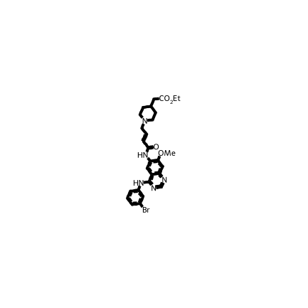 CCOC(=O)CC1CCN(CC=CC(=O)Nc2cc3c(Nc4cccc(Br)c4)ncnc3cc2OC)CC1